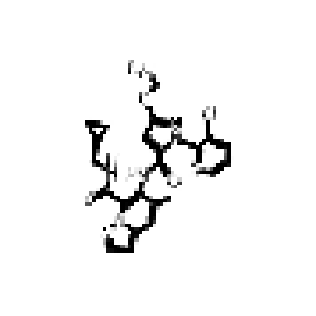 Cc1cc2ccnn2c(C(=O)NCC2CC2)c1NC(=O)c1cc(OCC(F)(F)F)nn1-c1ncccc1Cl